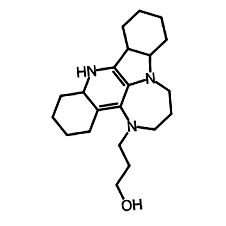 OCCCN1CCCN2C3=C(NC4CCCCC4=C31)C1CCCCC12